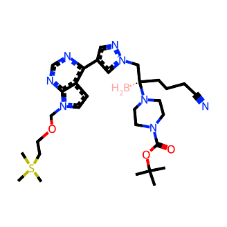 B[C@@](CCCC#N)(Cn1cc(-c2ncnc3c2ccn3COCCS(C)(C)C)cn1)N1CCN(C(=O)OC(C)(C)C)CC1